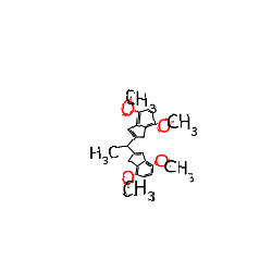 CCC(C1=Cc2c(OC)ccc(OC)c2C1)C1=Cc2c(OC)ccc(OC)c2C1